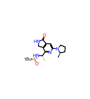 C[C@H](N[S@@+]([O-])C(C)(C)C)c1nc(N2CCC[C@H]2C)cc2c1CNC2=O